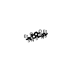 CCc1c(C)sc2nc3c4sc5c6c(ccc(c(=O)n3c12)c46)c(=O)n1c5nc2sc(C)c(CC)c21